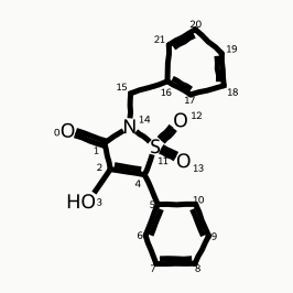 O=C1C(O)=C(c2ccccc2)S(=O)(=O)N1Cc1ccccc1